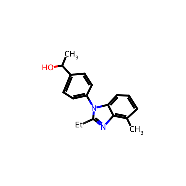 CCc1nc2c(C)cccc2n1-c1ccc(C(C)O)cc1